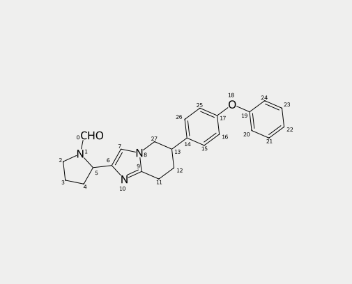 O=CN1CCCC1c1cn2c(n1)CCC(c1ccc(Oc3ccccc3)cc1)C2